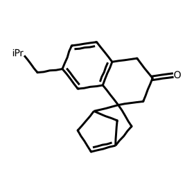 CC(C)Cc1ccc2c(c1)C1(CC(=O)C2)CC2=CCC1C2